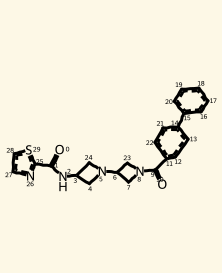 O=C(NC1CN(C2CN(C(=O)c3ccc(-c4ccccc4)cc3)C2)C1)c1nccs1